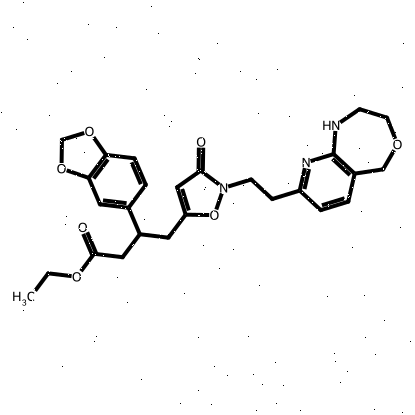 CCOC(=O)CC(Cc1cc(=O)n(CCc2ccc3c(n2)NCCOC3)o1)c1ccc2c(c1)OCO2